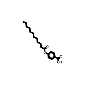 CCCCCCCCCCCC(=O)Oc1ccc(C(=O)O)cc1